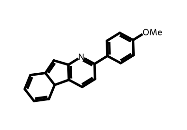 COc1ccc(-c2ccc3c(n2)C=C2C=CC=CC23)cc1